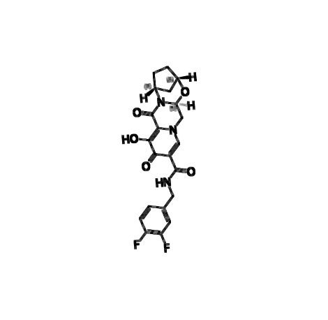 O=C(NCc1ccc(F)c(F)c1)c1cn2c(c(O)c1=O)C(=O)N1[C@@H]3CC[C@@H](C3)O[C@H]1C2